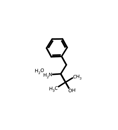 CC(C)(O)C(N)Cc1ccccc1.O